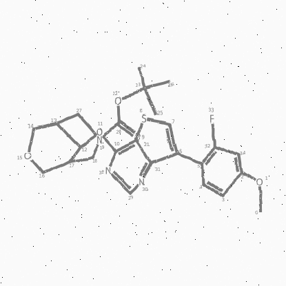 COc1ccc(-c2csc3c(OC4C5COCC4CN(C(=O)OC(C)(C)C)C5)ncnc23)c(F)c1